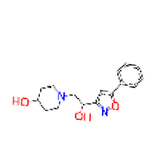 OC1CCN(CC(O)c2cc(-c3ccccc3)on2)CC1